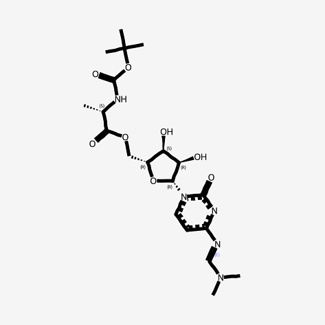 C[C@H](NC(=O)OC(C)(C)C)C(=O)OC[C@H]1O[C@@H](n2ccc(/N=C/N(C)C)nc2=O)[C@H](O)[C@@H]1O